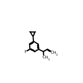 C=C[C](C)c1cc(F)cc(C2CC2)c1